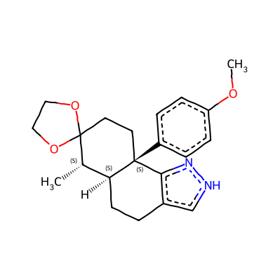 COc1ccc([C@]23CCC4(OCCO4)[C@@H](C)[C@@H]2CCc2c[nH]nc23)cc1